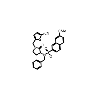 COc1ccc2ccc(S(=O)(=O)N(Cc3ccccc3)[C@H]3CCN(Cc4ccc(C#N)s4)C3=O)cc2c1